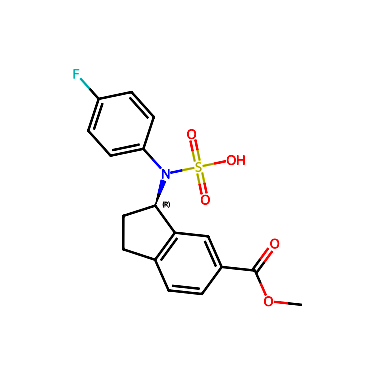 COC(=O)c1ccc2c(c1)[C@H](N(c1ccc(F)cc1)S(=O)(=O)O)CC2